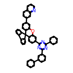 c1ccc(-c2cccc(-c3nc(-c4ccccc4)nc(-c4ccc5c(c4)Oc4cc(-c6ccc7cccnc7c6)ccc4C54c5ccccc5-c5ccccc54)n3)c2)cc1